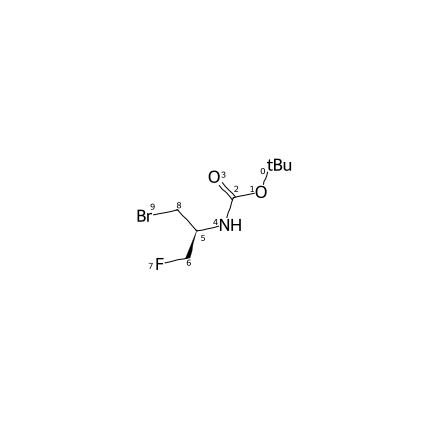 CC(C)(C)OC(=O)N[C@@H](CF)CBr